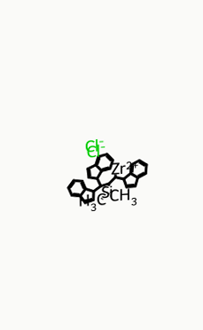 C[Si]1(C)C([CH]([Zr+2])C2C=Cc3ccccc32)C1(C1C=Cc2ccccc21)C1C=Cc2ccccc21.[Cl-].[Cl-]